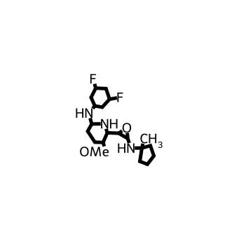 COC1CCC(NC2CC(F)CC(F)C2)NC1C1OC1NC1(C)CCCC1